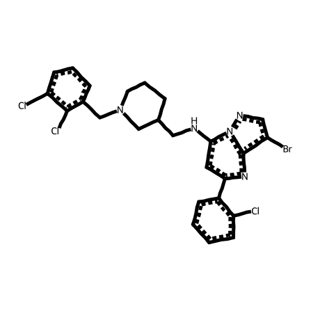 Clc1ccccc1-c1cc(NCC2CCCN(Cc3cccc(Cl)c3Cl)C2)n2ncc(Br)c2n1